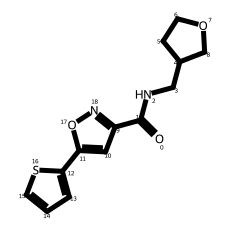 O=C(NCC1CCOC1)c1cc(-c2cccs2)on1